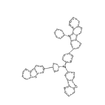 c1ccc(-n2c3cc(-c4ccc(N(c5ccc(-c6ccc7c(c6)sc6ccccc67)cc5)c5ccc6oc7ccccc7c6c5)cc4)ccc3c3ccc4ccccc4c32)cc1